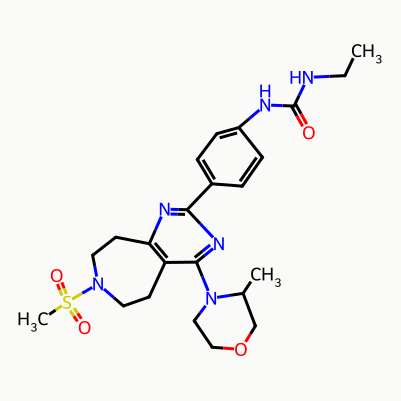 CCNC(=O)Nc1ccc(-c2nc3c(c(N4CCOCC4C)n2)CCN(S(C)(=O)=O)CC3)cc1